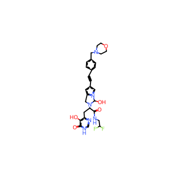 O=C(NCC(F)F)C(Cc1nc[nH]c(=O)c1O)N1Cc2cc(C#Cc3ccc(CN4CCOCC4)cc3)cn2C1O